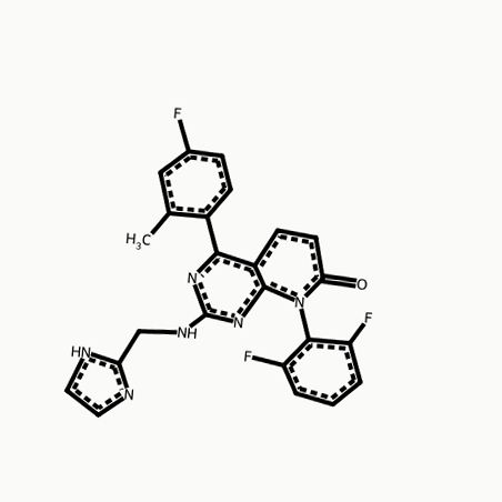 Cc1cc(F)ccc1-c1nc(NCc2ncc[nH]2)nc2c1ccc(=O)n2-c1c(F)cccc1F